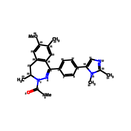 CNC(=O)N1N=C(c2ccc(-c3cnc(C)n3C)cc2)c2cc(C)c(OC)cc2CC1C